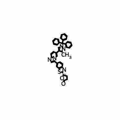 Cc1nn(C(c2ccccc2)(c2ccccc2)c2ccccc2)cc1-c1ccc2ncc(-c3ccc4nc([C@@H]5CCC(=O)O5)sc4c3)n2c1